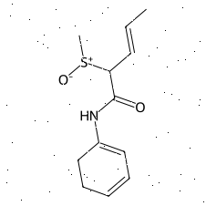 CC=CC(C(=O)NC1=CC=CCC1)[S+](C)[O-]